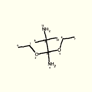 CCOC(N)(OCC)C(C)(C)N